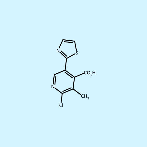 Cc1c(Cl)ncc(-c2nccs2)c1C(=O)O